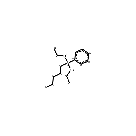 CCCCC[Si](OCC)(OCC)c1ccccc1